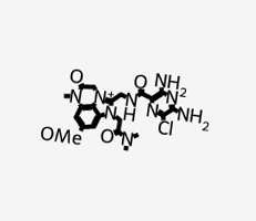 COc1cc2c3c(c1)n(CC(=O)N(C)C)c(CNC(=O)c1nc(Cl)c(N)nc1N)[n+]3CC(=O)N2C